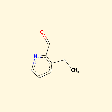 CCc1cccnc1C=O